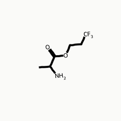 CC(N)C(=O)OCCC(F)(F)F